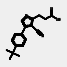 CC(C)(C)c1ccc(-c2csc(SCC(=O)O)c2C#N)cc1